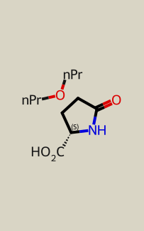 CCCOCCC.O=C1CC[C@@H](C(=O)O)N1